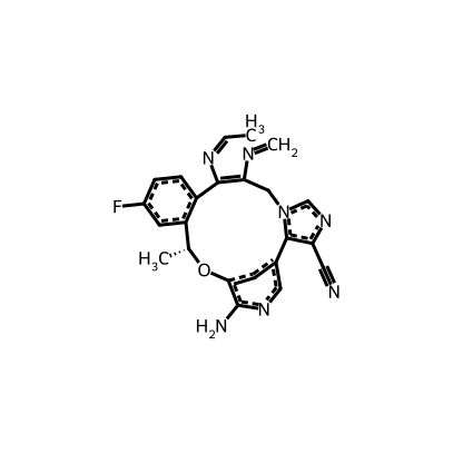 C=N/C1=C(\N=C/C)c2ccc(F)cc2[C@@H](C)Oc2cc(cnc2N)-c2c(C#N)ncn2C1